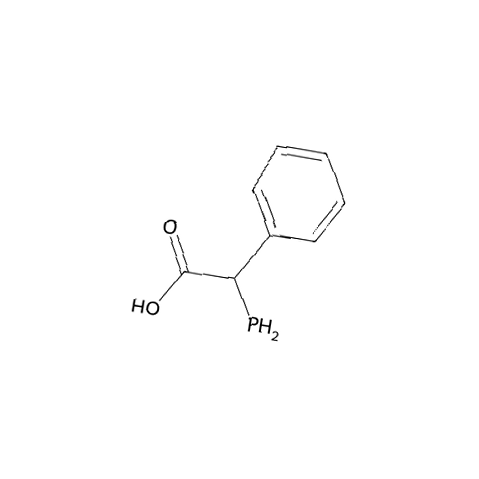 O=C(O)C(P)c1ccccc1